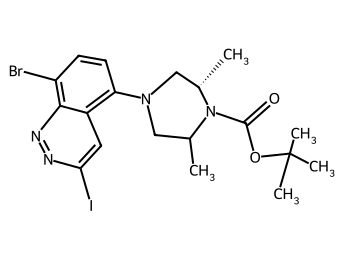 CC1CN(c2ccc(Br)c3nnc(I)cc23)C[C@H](C)N1C(=O)OC(C)(C)C